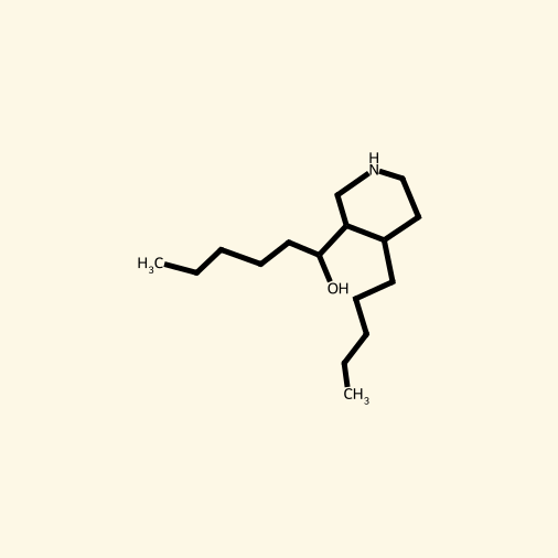 CCCCCC(O)C1CNCCC1CCCCC